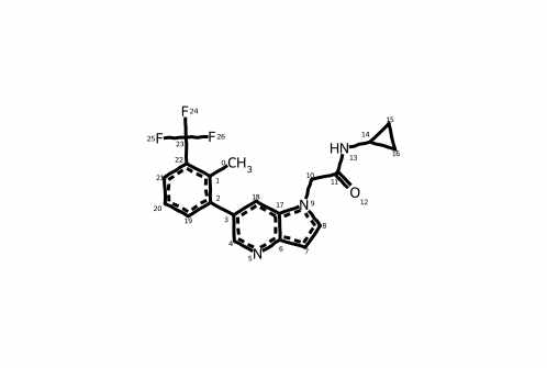 Cc1c(-c2cnc3ccn(CC(=O)NC4CC4)c3c2)cccc1C(F)(F)F